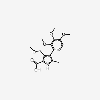 COCc1c(C(=O)O)[nH]c(C)c1-c1ccc(OC)c(OC)c1OC